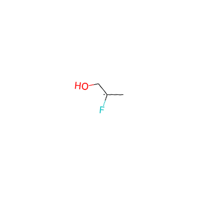 C[C](F)CO